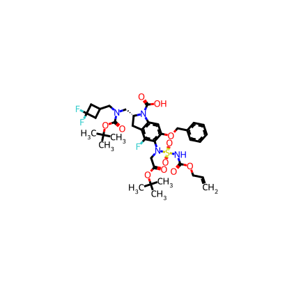 C=CCOC(=O)NS(=O)(=O)N(CC(=O)OC(C)(C)C)c1c(OCc2ccccc2)cc2c(c1F)C[C@H](CN(CC1CC(F)(F)C1)C(=O)OC(C)(C)C)N2C(=O)O